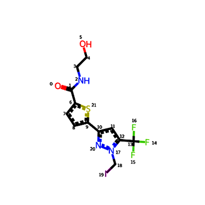 O=C(NCCO)c1ccc(-c2cc(C(F)(F)F)n(CI)n2)s1